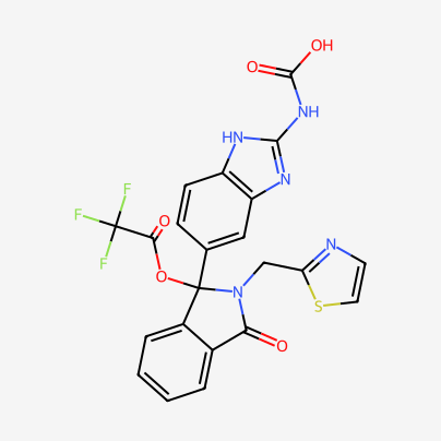 O=C(O)Nc1nc2cc(C3(OC(=O)C(F)(F)F)c4ccccc4C(=O)N3Cc3nccs3)ccc2[nH]1